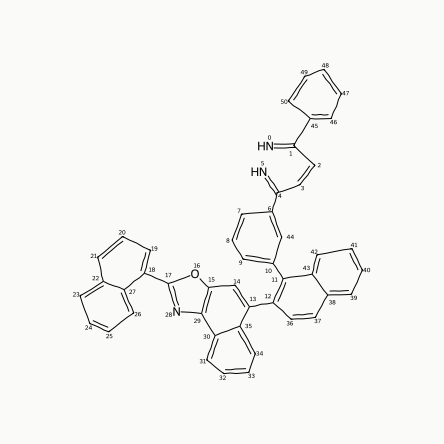 N=C(/C=C\C(=N)c1cccc(-c2c(-c3cc4oc(-c5cccc6ccccc56)nc4c4ccccc34)ccc3ccccc23)c1)c1ccccc1